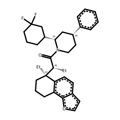 CC[C@@H](C(=O)N1CC[C@@H](c2ccccc2)C[C@H]1C1CCCC(F)(F)C1)[C@]1(CC)CCCc2c1ccc1ccoc21